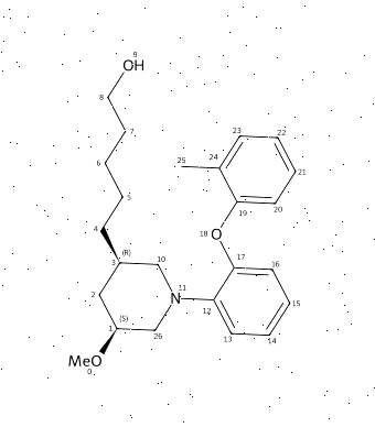 CO[C@H]1C[C@@H](CCCCCO)CN(c2ccccc2Oc2ccccc2C)C1